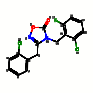 O=c1onc(Cc2ccccc2Cl)n1Cc1c(F)cccc1Cl